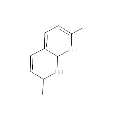 CC1C=CC2=CC=C(Cl)NC2N1